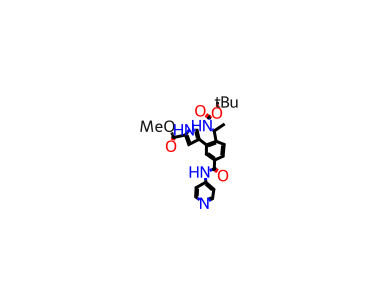 COC(=O)c1cc(-c2cc(C(=O)Nc3ccncc3)ccc2C(C)NC(=O)OC(C)(C)C)c[nH]1